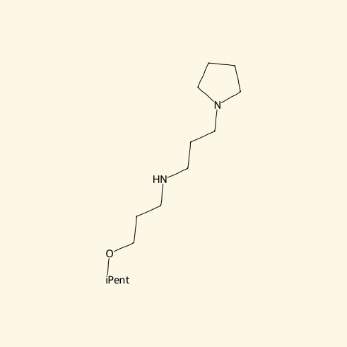 CCCC(C)OCCCNCCCN1CCCC1